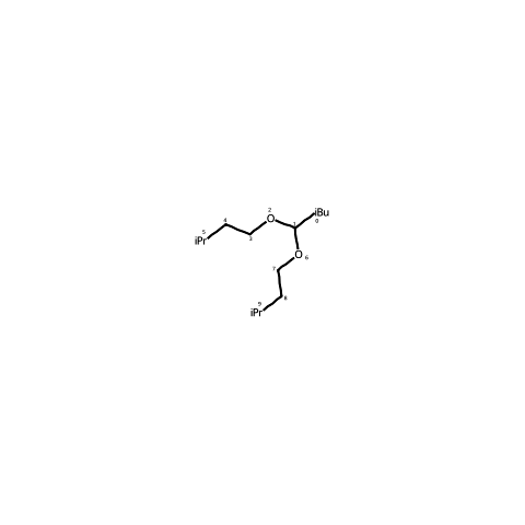 [CH2]CC(C)C(OCCC(C)C)OCCC(C)C